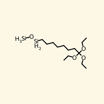 CCOC(CCCCCCC[SiH2]O[SiH3])(OCC)OCC